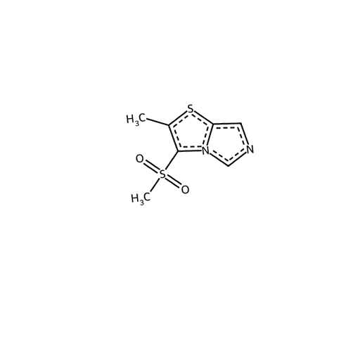 Cc1sc2cncn2c1S(C)(=O)=O